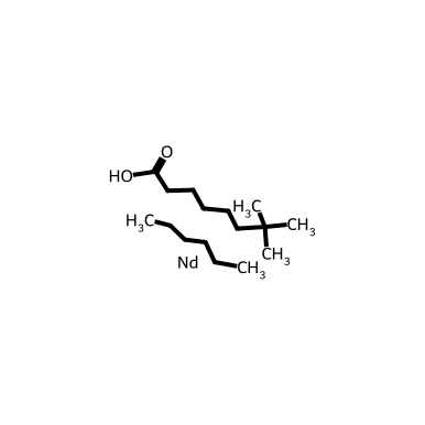 CC(C)(C)CCCCCC(=O)O.CCCCCC.[Nd]